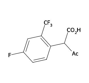 CC(=O)C(C(=O)O)c1ccc(F)cc1C(F)(F)F